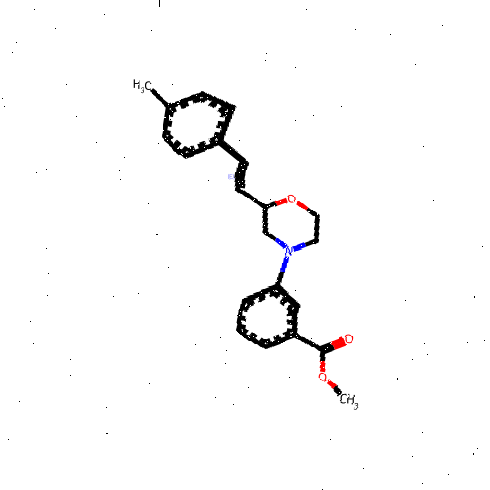 COC(=O)c1cccc(N2CCOC(/C=C/c3ccc(C)cc3)C2)c1